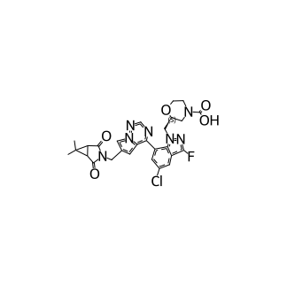 CC1(C)C2C(=O)N(Cc3cc4c(-c5cc(Cl)cc6c(F)nn(C[C@@H]7CN(C(=O)O)CCO7)c56)ncnn4c3)C(=O)C21